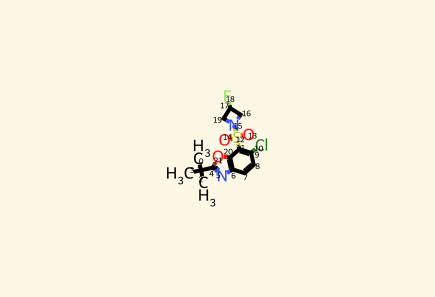 CC(C)(C)c1nc2ccc(Cl)c(S(=O)(=O)N3CC(F)C3)c2o1